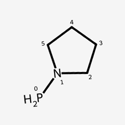 PN1CCCC1